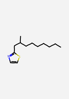 CCCCCCCC(C)Cc1nccs1